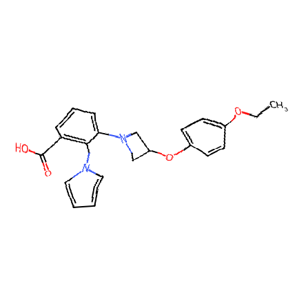 CCOc1ccc(OC2CN(c3cccc(C(=O)O)c3-n3cccc3)C2)cc1